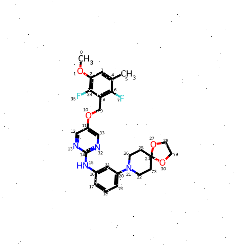 COc1cc(C)c(F)c(COc2cnc(Nc3cccc(N4CCC5(CC4)OCCO5)c3)nc2)c1F